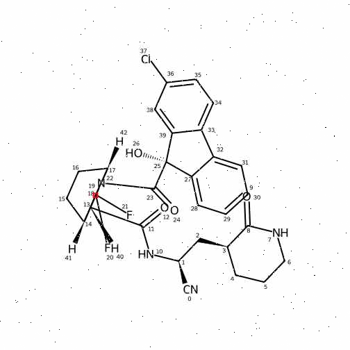 N#C[C@H](C[C@@H]1CCCNC1=O)NC(=O)[C@@H]1[C@@H]2CC[C@@H](CC2(F)F)N1C(=O)[C@]1(O)c2ccccc2-c2ccc(Cl)cc21